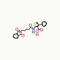 O=C(CCCCN1C(=O)c2ccccc2C1=O)Nc1scc(-c2ccccc2)c1C(=O)O